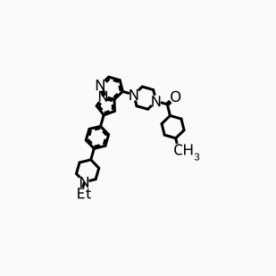 CCN1CCC(c2ccc(-c3cc4c(N5CCN(C(=O)C6CCC(C)CC6)CC5)ccnn4c3)cc2)CC1